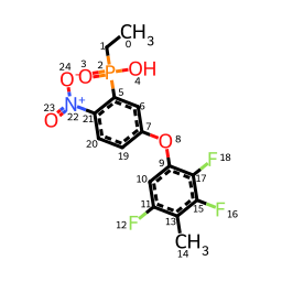 CCP(=O)(O)c1cc(Oc2cc(F)c(C)c(F)c2F)ccc1[N+](=O)[O-]